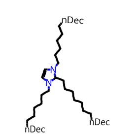 CCCCCCCCCCCCCCCCCC1N(CCCCCCCCCCCCCCCC)C=CN1CCCCCCCCCCCCCCCC